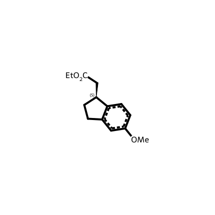 CCOC(=O)C[C@@H]1CCc2cc(OC)ccc21